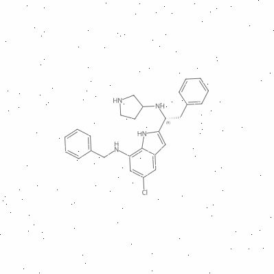 Clc1cc(NCc2ccccc2)c2[nH]c([C@@H](Cc3ccccc3)NC3CCNC3)cc2c1